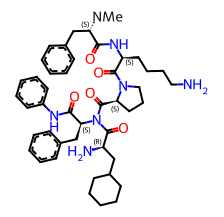 CN[C@@H](Cc1ccccc1)C(=O)N[C@@H](CCCCN)C(=O)N1CCC[C@H]1C(=O)N(C(=O)[C@H](N)CC1CCCCC1)[C@@H](Cc1ccccc1)C(=O)Nc1ccccc1